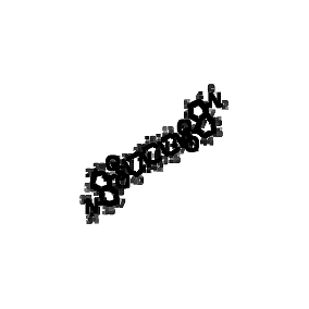 CN(C)c1cccc2c(S(=O)(=O)N3CC[N+]4(CC3)CC[N+]3(CCN(S(=O)(=O)c5cccc6c(N(C)C)cccc56)CC3)CC4)cccc12